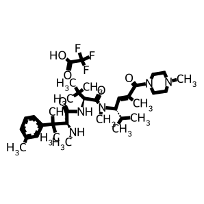 CN[C@H](C(=O)N[C@H](C(=O)N(C)[C@H](/C=C(\C)C(=O)N1CCN(C)CC1)C(C)C)C(C)(C)C)C(C)(C)c1cccc(C)c1.O=C(O)C(F)(F)F